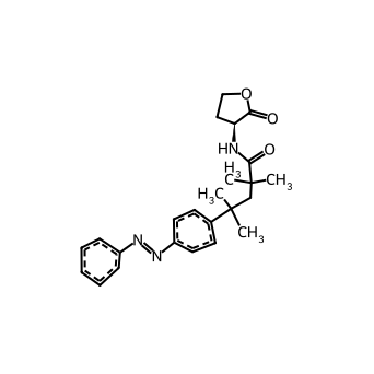 CC(C)(CC(C)(C)c1ccc(/N=N/c2ccccc2)cc1)C(=O)N[C@H]1CCOC1=O